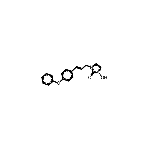 O=c1n(O)ccn1CC=Cc1ccc(Oc2ccccc2)cc1